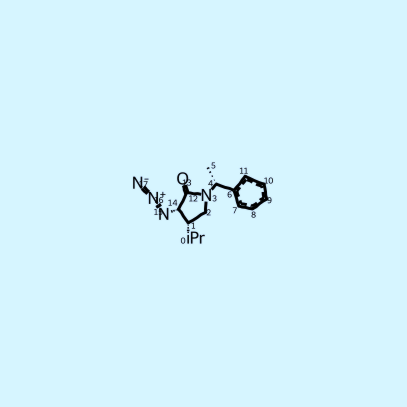 CC(C)[C@H]1CN([C@H](C)c2ccccc2)C(=O)[C@H]1N=[N+]=[N-]